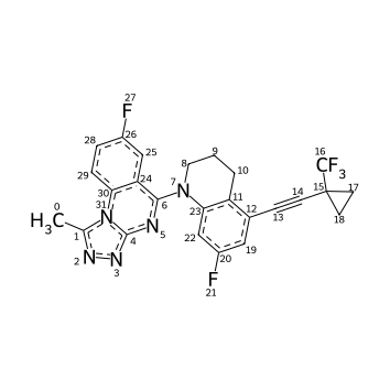 Cc1nnc2nc(N3CCCc4c(C#CC5(C(F)(F)F)CC5)cc(F)cc43)c3cc(F)ccc3n12